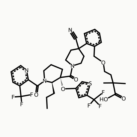 CCC[C@H]1N(C(=O)c2ncccc2C(F)(F)F)CCC[C@@]1(Oc1csc(C(F)(F)F)c1)C(=O)N1CCC(C#N)(c2ccccc2COCCC(C)(C)C(=O)O)CC1